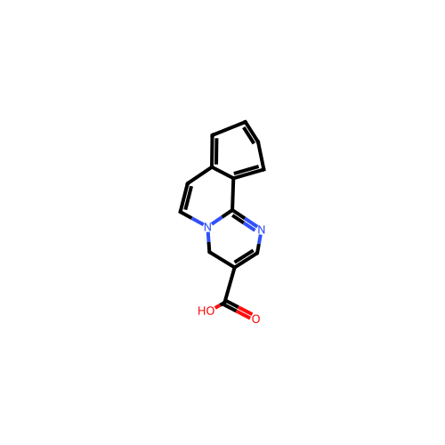 O=C(O)C1=CN=C2c3ccccc3C=CN2C1